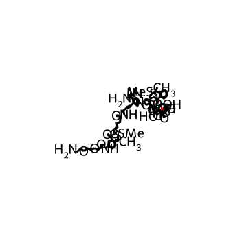 CSSC(C)c1ccc(NC(=O)COCCOCCN)cc1C(=O)OCCCCC(=O)NCC#Cc1cn([C@H]2C[C@@H](OC(=O)c3ccccc3C(C)SSC)C(COP(=O)(O)OP(=O)(O)OP(=O)(O)O)O2)c2ncnc(N)c12